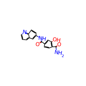 NC(=O)c1ccc(C(=O)Nc2ccc3ncccc3c2)cc1O